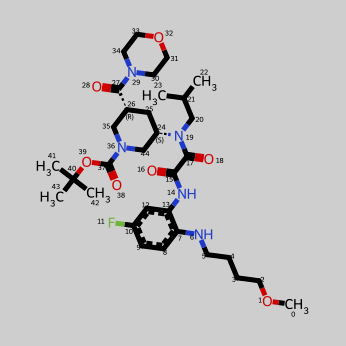 COCCCCNc1ccc(F)cc1NC(=O)C(=O)N(CC(C)C)[C@H]1C[C@@H](C(=O)N2CCOCC2)CN(C(=O)OC(C)(C)C)C1